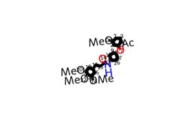 COc1ccc(C(C)=O)c(Oc2ccc(NC(=O)/C=C/c3cc(OC)c(OC)c(OC)c3)cc2)c1